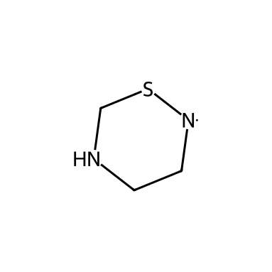 C1CNCS[N]1